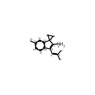 CC(C)=CC1=C(N)C2(CC2)c2cc(C)ccc21